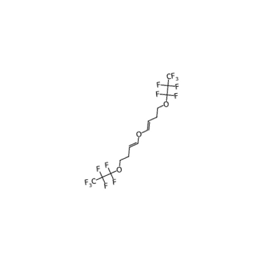 FC(F)(F)C(F)(F)C(F)(F)OCCC=COC=CCCOC(F)(F)C(F)(F)C(F)(F)F